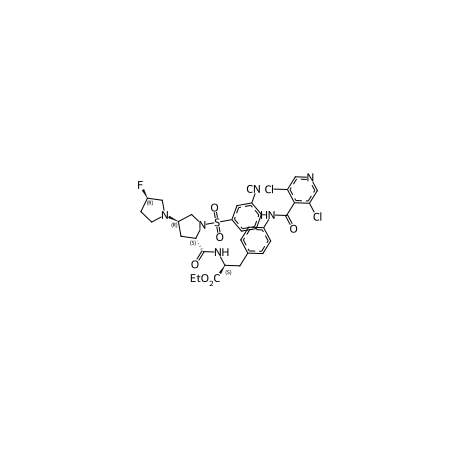 CCOC(=O)[C@H](Cc1ccc(NC(=O)c2c(Cl)cncc2Cl)cc1)NC(=O)[C@@H]1C[C@@H](N2CC[C@@H](F)C2)CN1S(=O)(=O)c1cccc(C#N)c1